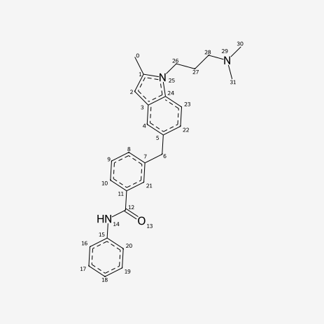 Cc1cc2cc(Cc3cccc(C(=O)Nc4ccccc4)c3)ccc2n1CCCN(C)C